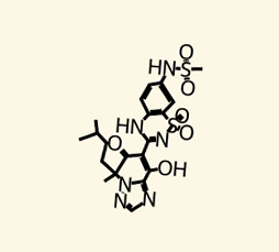 CC(C)CCC1(C)C(=O)C(C2=NS(=O)(=O)c3cc(NS(C)(=O)=O)ccc3N2)=C(O)c2ncnn21